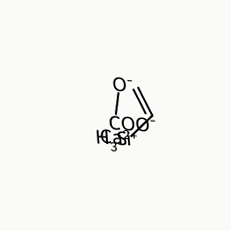 C=C[SiH3].O=C([O-])[O-].[Ca+2]